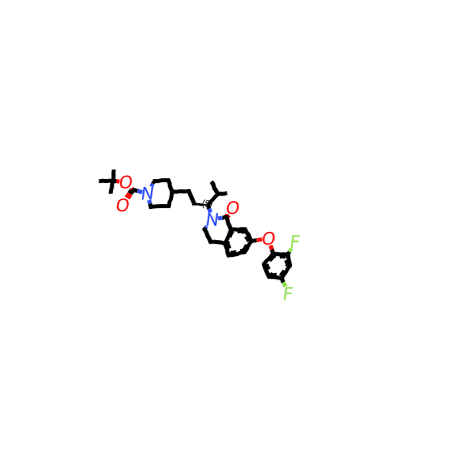 CC(C)[C@H](CCC1CCN(C(=O)OC(C)(C)C)CC1)N1CCc2ccc(Oc3ccc(F)cc3F)cc2C1=O